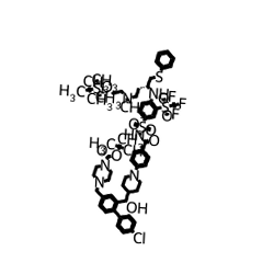 CN(CCO[Si](C)(C)C(C)(C)C)CC[C@H](CSc1ccccc1)Nc1ccc(S(=O)(=O)NC(=O)c2ccc(N3CCC([C@H](O)c4cc(CN5CCN(C(=O)OC(C)(C)C)CC5)ccc4-c4ccc(Cl)cc4)CC3)cc2)cc1S(=O)(=O)C(F)(F)F